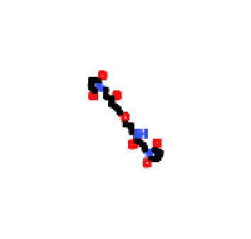 O=C(CCCOCCCNC(=O)CCN1C(=O)C=CC1=O)CCN1C(=O)C=CC1=O